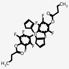 CCCC(=O)Oc1c(F)c(F)[c]([Ti]([C]2=CC=CC2)([C]2=CC=CC2)[c]2c(F)c(F)c(OC(=O)CCC)c(F)c2F)c(F)c1F